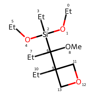 CCO[Si](CC)(OCC)C(CC)(OC)C1(CC)COC1